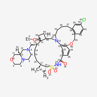 CCO[C@@]1(CN2CCN3CCOC[C@@H]3C2)CCC[C@H](C)[C@@H](C)S(=O)(=O)NC(=O)c2ccc3c(c2)N(CCCCc2cc(Cl)ccc2CO3)C[C@@H]2CC[C@H]21